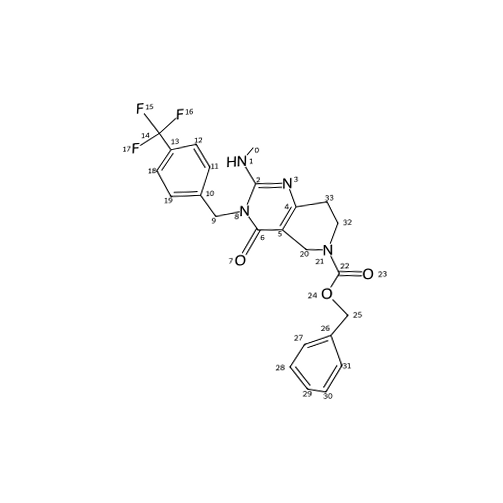 CNc1nc2c(c(=O)n1Cc1ccc(C(F)(F)F)cc1)CN(C(=O)OCc1ccccc1)CC2